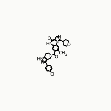 Cc1cc2c(cc1C(=O)N1CCc3[nH]nc(-c4ccc(Cl)cc4)c3C1)[nH]c(=O)c1cnc(C3CCOCC3)n12